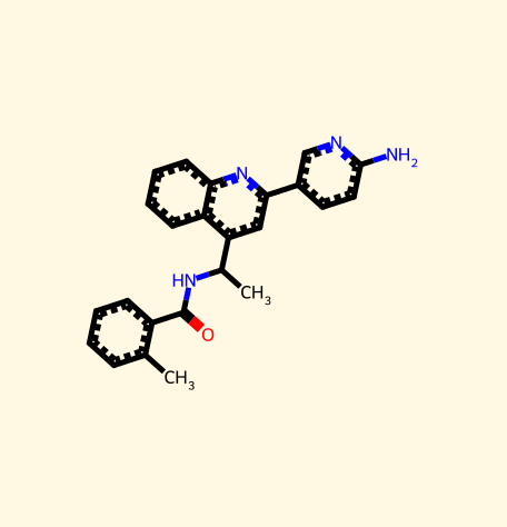 Cc1ccccc1C(=O)NC(C)c1cc(-c2ccc(N)nc2)nc2ccccc12